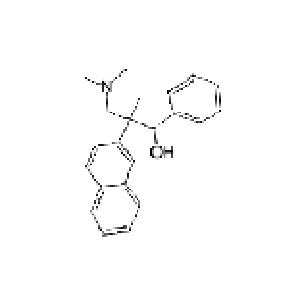 CN(C)CC(C)(c1ccc2ccccc2c1)C(O)c1ccccc1